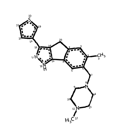 Cc1cc2c(cc1CN1CCN(C)CC1)-c1[nH]nc(-c3ccsc3)c1C2